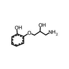 NCC(O)COc1ccccc1O